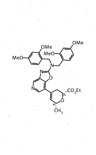 CCOC(=O)[C@H]1CC(c2cncc3nc(N(Cc4ccc(OC)cc4OC)Cc4ccc(OC)cc4OC)oc23)=C[C@@H](C)O1